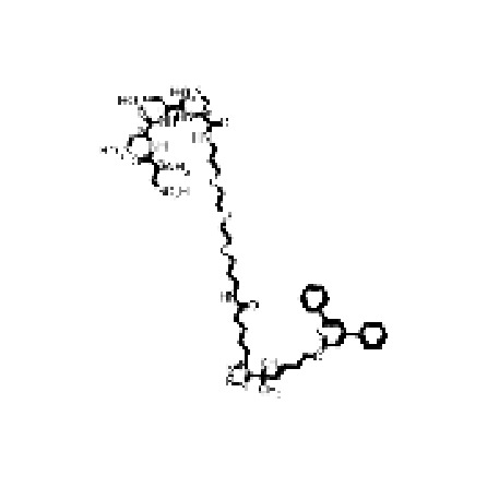 CC(C)(C=CCCOc1cc(-c2ccccc2)cc(-c2ccccc2)n1)c1nnnn1CCCCC(=O)NCCCOCCOCCOCCCNC(=O)[C@H](CS(=O)(=O)O)NC(=O)[C@H](CS(=O)(=O)O)NC(=O)[C@H](CS(=O)(=O)O)NC(=O)[C@@H](N)CS(=O)(=O)O